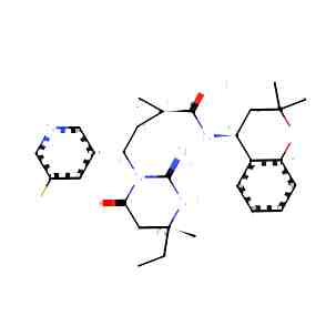 CC[C@]1(C)CC(=O)N([C@H](c2cncc(F)c2)[C@@H]2C[C@H]2C(=O)N[C@@H]2c3ccccc3OC(C)(C)[C@H]2O)C(=N)N1